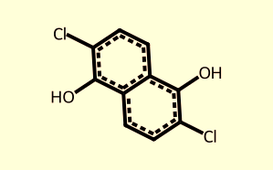 Oc1c(Cl)ccc2c(O)c(Cl)ccc12